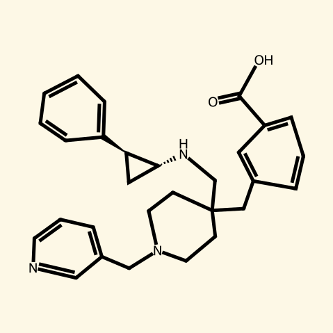 O=C(O)c1cccc(CC2(CN[C@@H]3C[C@H]3c3ccccc3)CCN(Cc3cccnc3)CC2)c1